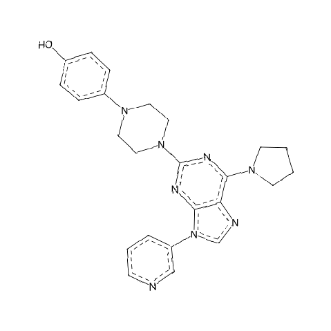 Oc1ccc(N2CCN(c3nc(N4CCCC4)c4ncn(-c5cccnc5)c4n3)CC2)cc1